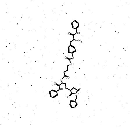 NC(Cc1ccc(OC(=O)NCCCC(=O)NC(CSC2CC(=O)N(Cc3ccccc3)C2=O)C(=O)Nc2ccccc2)cc1)C(=O)Nc1ccccc1